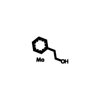 OCCc1ccccc1.[Mo]